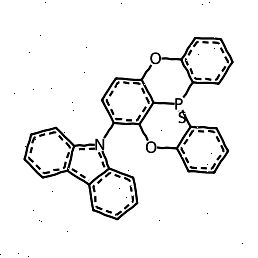 S=P12c3ccccc3Oc3ccc(-n4c5ccccc5c5ccccc54)c(c31)Oc1ccccc12